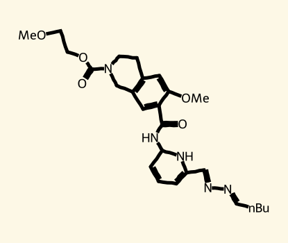 CCCC/C=N/N=C/C1=CC=CC(NC(=O)c2cc3c(cc2OC)CCN(C(=O)OCCOC)C3)N1